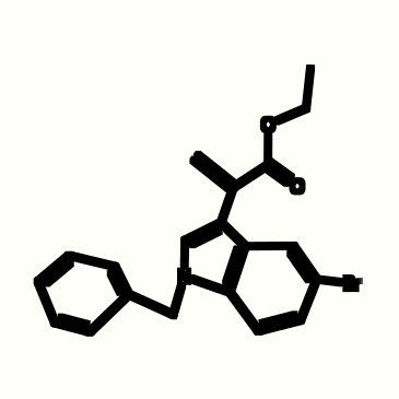 C=C(C(=O)OCC)c1cn(Cc2ccccc2)c2ccc(Br)cc12